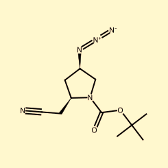 CC(C)(C)OC(=O)N1C[C@H](N=[N+]=[N-])C[C@@H]1CC#N